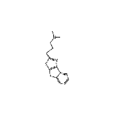 CN(C)CCCc1nc2c(s1)Cc1ccccc1-2